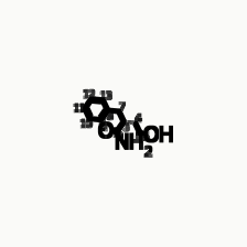 NC(=O)[C@@H](CCO)Cc1ccccc1